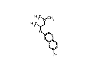 CC(CN(C)C)Oc1ccc2ccc(C(C)C)cc2c1